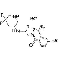 CC(C)c1nn(CC(=O)NC2CNCC(F)(F)C2)c(=O)c2ccc(Br)cc12.Cl